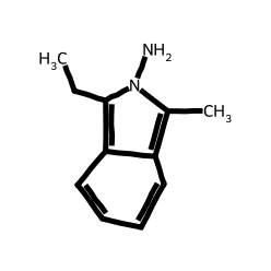 CCc1c2ccccc2c(C)n1N